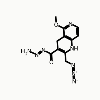 COc1nccc2c1CC(C(=O)N=NN)=C(CN=[N+]=[N-])N2